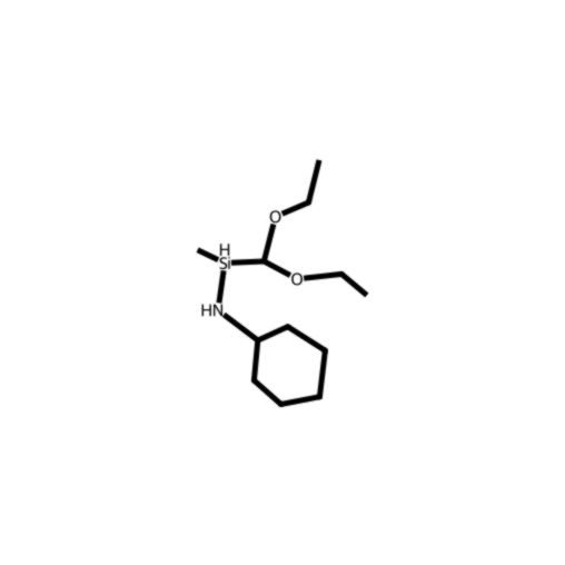 CCOC(OCC)[SiH](C)NC1CCCCC1